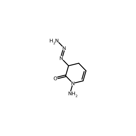 NN=NC1CC=CN(N)C1=O